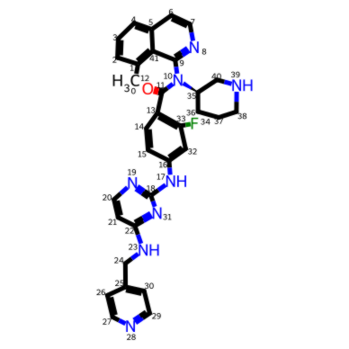 Cc1cccc2ccnc(N(C(=O)c3ccc(Nc4nccc(NCc5ccncc5)n4)cc3F)[C@@H]3CCCNC3)c12